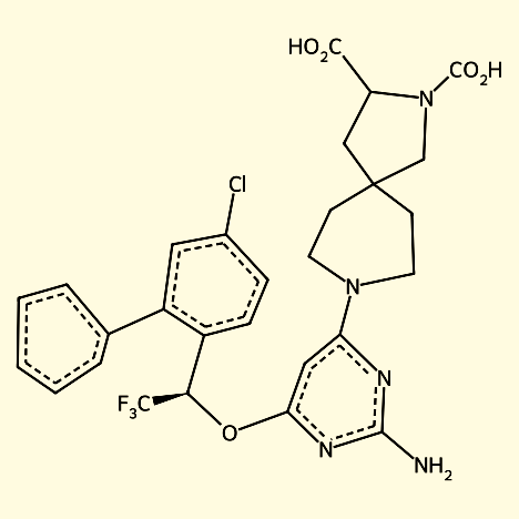 Nc1nc(O[C@H](c2ccc(Cl)cc2-c2ccccc2)C(F)(F)F)cc(N2CCC3(CC2)CC(C(=O)O)N(C(=O)O)C3)n1